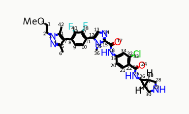 COCCn1nc(C)c(-c2ccc(-c3cnc(C(=O)Nc4ccc(C(=O)NC5[C@H]6CNC[C@@H]56)c(Cl)c4)n3C)c(F)c2F)c1C